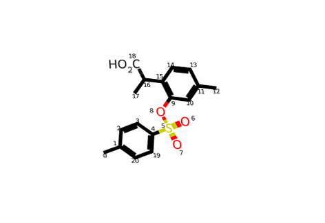 Cc1ccc(S(=O)(=O)Oc2cc(C)ccc2C(C)C(=O)O)cc1